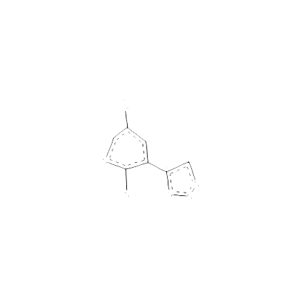 Nc1ncc(Br)cc1-c1c[nH]nn1